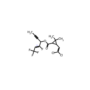 CC#CC(OC(=O)C1C(C=C(Cl)Cl)C1(C)C)/C(F)=C/C(F)(F)F